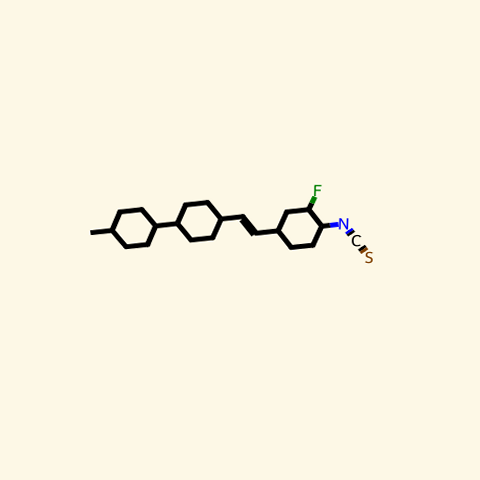 CC1CCC(C2CCC(C=CC3CCC(N=C=S)C(F)C3)CC2)CC1